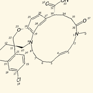 CN1C/C=C/CCCCN2C[C@@]3(CCCc4cc(Cl)ccc43)COc3ccc(cc32)[C@H](C(=O)O)CCC1=O